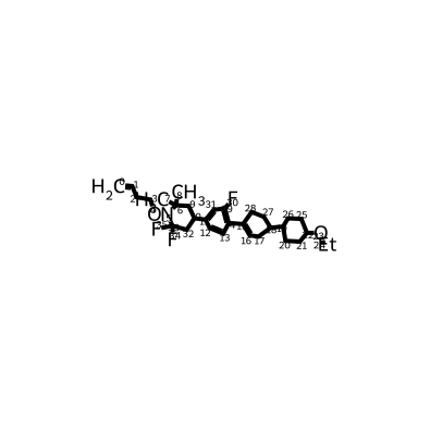 C=CCCON1C(C)(C)CC(c2ccc(C3=CCC(C4CCC(OCC)CC4)CC3)c(F)c2)CC1(F)F